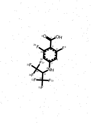 O=C(O)c1c(F)cc(NC(C(F)(F)F)C(F)(F)F)cc1F